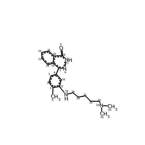 Cc1ccc(-c2n[nH]c(=O)c3ccccc23)cc1NCCCCCN(C)C